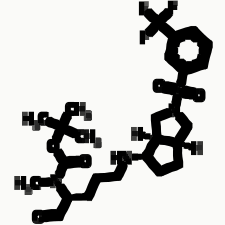 CN(C(=O)OC(C)(C)C)[C@H](C=O)CCCN[C@H]1CC[C@@H]2CN(S(=O)(=O)c3cccc(C(F)(F)F)c3)C[C@@H]21